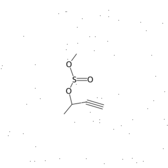 C#CC(C)OS(=O)OC